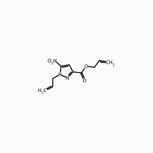 C=CCOC(=O)c1cc([N+](=O)[O-])n(CC=C)n1